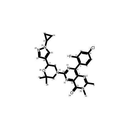 Cc1nc2c(-c3ccc(Cl)cc3F)nc(N3CC(c4cnn(C5CC5)c4)OC(C)(C)C3)nc2c(=O)n1C